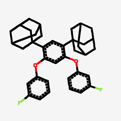 Fc1cccc(Oc2cc(Oc3cccc(F)c3)c(C34CC5CC(CC(C5)C3)C4)cc2C23CC4CC(CC(C4)C2)C3)c1